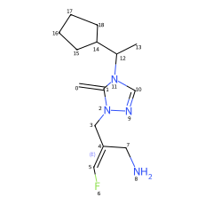 C=C1N(C/C(=C/F)CN)N=CN1C(C)C1CCCC1